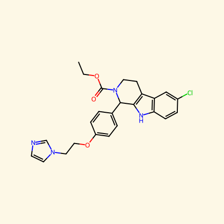 CCOC(=O)N1CCc2c([nH]c3ccc(Cl)cc23)C1c1ccc(OCCn2ccnc2)cc1